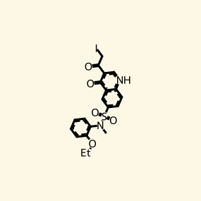 CCOc1ccccc1N(C)S(=O)(=O)c1ccc2[nH]cc(C(=O)CI)c(=O)c2c1